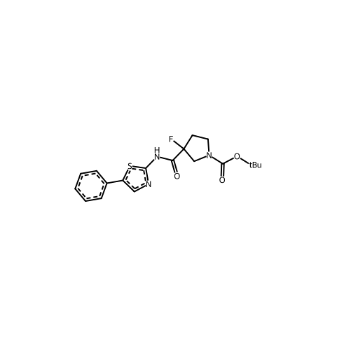 CC(C)(C)OC(=O)N1CCC(F)(C(=O)Nc2ncc(-c3ccccc3)s2)C1